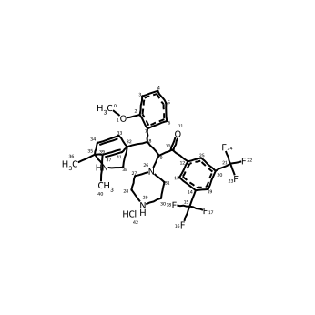 COc1ccccc1C(C(C(=O)c1cc(C(F)(F)F)cc(C(F)(F)F)c1)N1CCNCC1)C12C=CC(C)(NC1)C(C)=C2.Cl